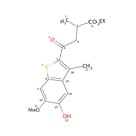 CCOC(=O)C(C)CC(=O)c1sc2cc(OC)c(O)cc2c1C